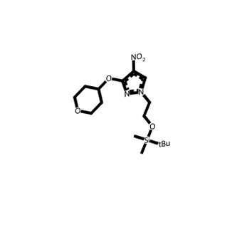 CC(C)(C)[Si](C)(C)OCCn1cc([N+](=O)[O-])c(OC2CCOCC2)n1